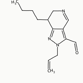 C=CCn1nc2c(c1C=O)C=NCC2CCCC